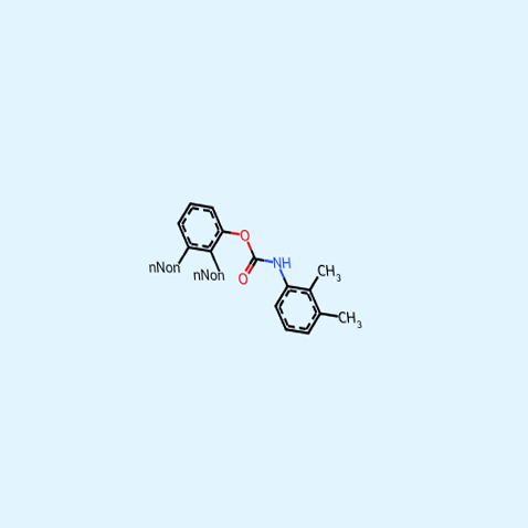 CCCCCCCCCc1cccc(OC(=O)Nc2cccc(C)c2C)c1CCCCCCCCC